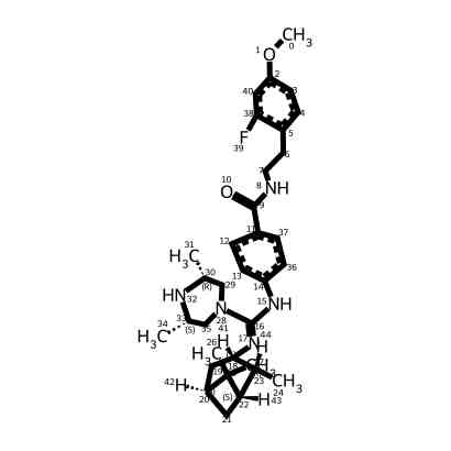 COc1ccc(CCNC(=O)c2ccc(NC(=N[C@H]3C[C@@H]4C[C@@H]([C@H]3C)C4(C)C)N3C[C@@H](C)N[C@@H](C)C3)cc2)c(F)c1